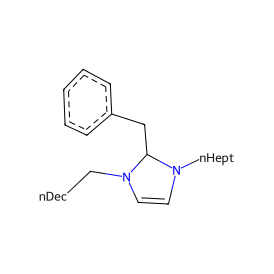 CCCCCCCCCCCN1C=CN(CCCCCCC)C1Cc1ccccc1